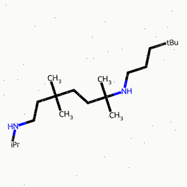 CC(C)NCCC(C)(C)CCC(C)(C)NCCCC(C)(C)C